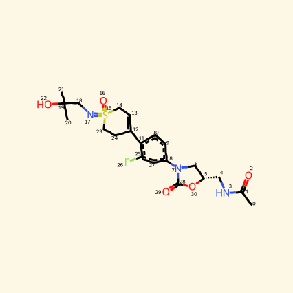 CC(=O)NC[C@H]1CN(c2ccc(C3=CCS(=O)(=NCC(C)(C)O)CC3)c(F)c2)C(=O)O1